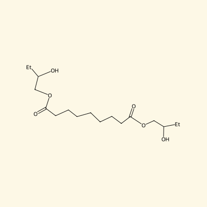 CCC(O)COC(=O)CCCCCCCC(=O)OCC(O)CC